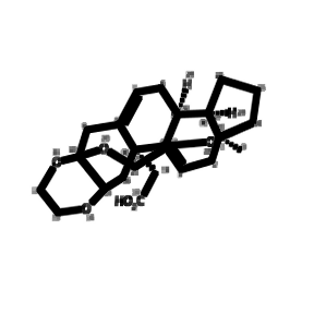 C[C@@]12CC=C3[C@H]4CC=C5CC6(OCCOC6C[C@@]53CC(=O)O)OCCOC1CC[C@H]42